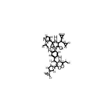 CCC(=O)N[C@@H](C(=O)N1CC[C@H](N(C)C)C1)[C@@H](C)c1ccc(NC(=O)[C@@H](NC(=O)c2ccnn2C(C)C)C(C2CC2)C2CC2)c(F)c1